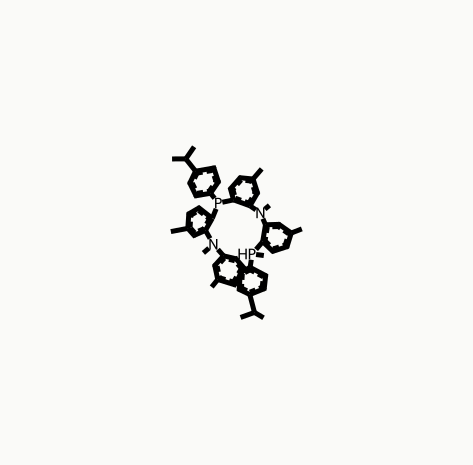 Cc1ccc2c(c1)N(C)c1cc(C)ccc1[PH](C)(c1ccc(C(C)C)cc1)c1ccc(C)cc1N(C)c1cc(C)ccc1P2c1ccc(C(C)C)cc1